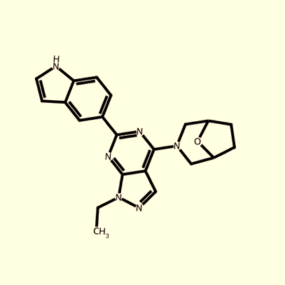 CCn1ncc2c(N3CC4CCC(C3)O4)nc(-c3ccc4[nH]ccc4c3)nc21